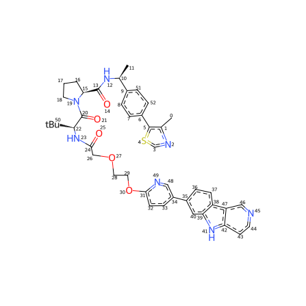 Cc1ncsc1-c1ccc([C@H](C)NC(=O)[C@@H]2CCCN2C(=O)[C@@H](NC(=O)COCCOc2ccc(-c3ccc4c(c3)[nH]c3ccncc34)cn2)C(C)(C)C)cc1